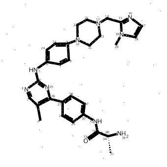 Cc1cnc(Nc2ccc(N3CCN(Cc4nccn4C)CC3)cc2)nc1-c1ccc(NC(=O)[C@@H](C)N)cc1